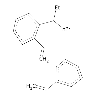 C=Cc1ccccc1.C=Cc1ccccc1C(CC)CCC